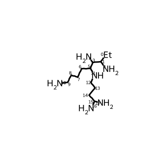 CCC(N)C(N)C(CCCCN)NCCCC(N)N